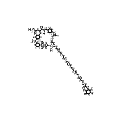 CCC(c1cccc(S(=O)(=O)N2CC(CO)C2)c1)c1ccc2c(c1)N=C(N)CC(C(=O)NCc1ccc(CN(C)CCOCCOCCOCCOCCOCCOCCOCCOCCOCCOCC(=O)Oc3c(F)c(F)cc(F)c3F)cc1)=C2